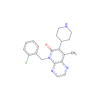 Cc1c(C2CCNCC2)c(=O)n(Cc2ccccc2F)c2nccnc12